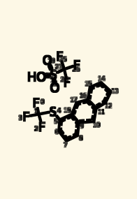 FC(F)(F)Sc1cccc2cc3ccccc3cc12.O=S(=O)(O)C(F)(F)F